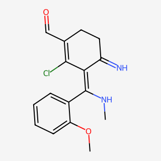 CN/C(=C1\C(=N)CCC(C=O)=C1Cl)c1ccccc1OC